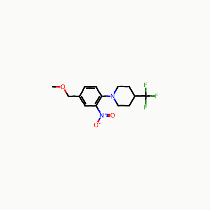 COCc1ccc(N2CCC(C(F)(F)F)CC2)c([N+](=O)[O-])c1